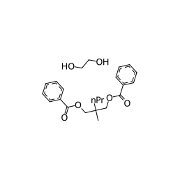 CCCC(C)(COC(=O)c1ccccc1)COC(=O)c1ccccc1.OCCO